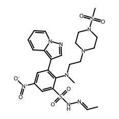 CC=NNS(=O)(=O)c1cc([N+](=O)[O-])cc(-c2cnn3ccccc23)c1N(C)CCN1CCN(S(C)(=O)=O)CC1